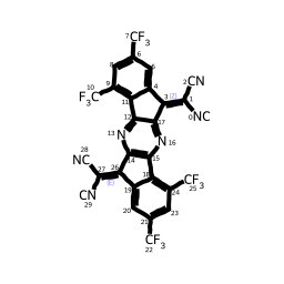 [C-]#[N+]/C(C#N)=C1/c2cc(C(F)(F)F)cc(C(F)(F)F)c2-c2nc3c(nc21)-c1c(cc(C(F)(F)F)cc1C(F)(F)F)/C3=C(/C#N)[N+]#[C-]